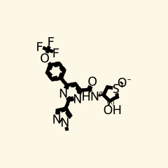 Cn1cc(-c2nc(C(=O)N[C@H]3C[S+]([O-])C[C@@H]3O)cc(-c3ccc(OC(F)(F)F)cc3)n2)cn1